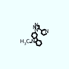 CCn1c2ccccc2c2cc(-n3nncc3-c3cccnc3)ccc21